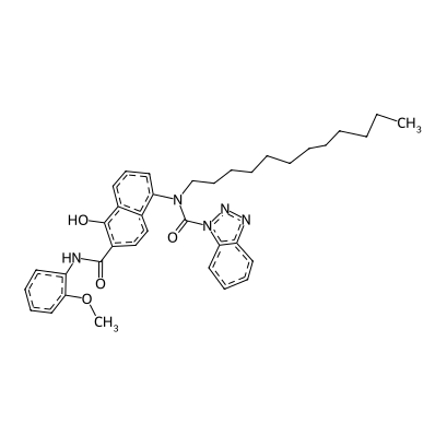 CCCCCCCCCCCCN(C(=O)n1nnc2ccccc21)c1cccc2c(O)c(C(=O)Nc3ccccc3OC)ccc12